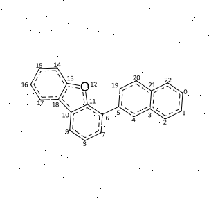 c1ccc2cc(-c3cccc4c3oc3ccccc34)ccc2c1